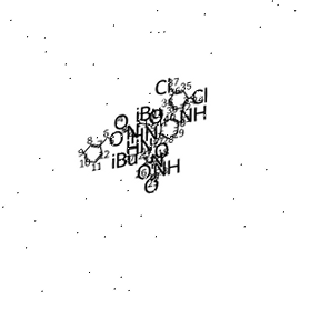 CC[C@H](C)C(NC(=O)OCc1ccccc1)C(=O)N[C@@]1(C(=O)NC(c2n[nH]c(=O)o2)[C@@H](C)CC)CCc2[nH]c3c(Cl)cc(Cl)cc3c2C1